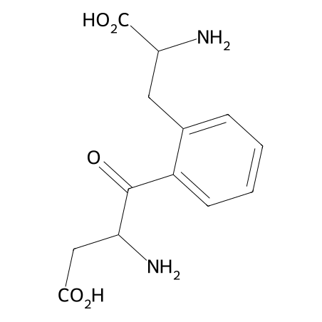 NC(Cc1ccccc1C(=O)C(N)CC(=O)O)C(=O)O